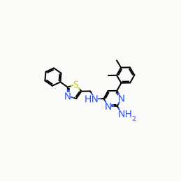 Cc1cccc(-c2cc(NCc3cnc(-c4ccccc4)s3)nc(N)n2)c1C